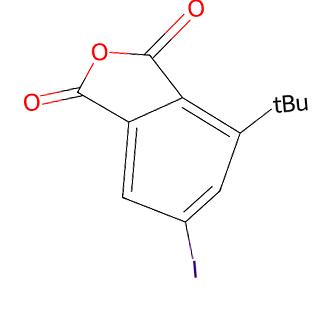 CC(C)(C)c1cc(I)cc2c1C(=O)OC2=O